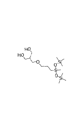 C[Si](C)(C)O[Si](C)(CCCOCC(CO)CO)O[Si](C)(C)C